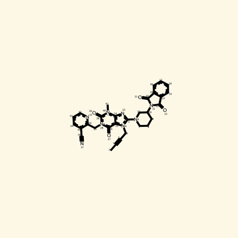 CC#CCn1c(N2CCCC(N3C(=O)c4ccccc4C3=O)C2)nc2c1c(=O)n(Cc1ncccc1C#N)c(=O)n2C